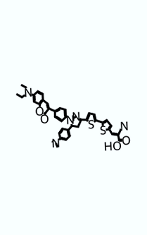 CCN(CC)c1ccc2cc(-c3ccc(N4N=C(c5ccc(-c6ccc(/C=C(\C#N)C(=O)O)s6)s5)CC4c4ccc(N(C)C)cc4)cc3)c(=O)oc2c1